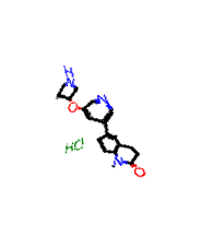 CN1C(=O)CCc2cc(-c3cncc(O[C@H]4CCNC4)c3)ccc21.Cl